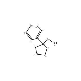 OCC1(c2ccccc2)CCOC1